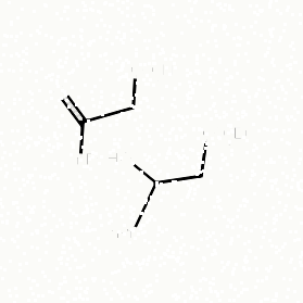 CCCC(=O)CC(=O)O.CCCC(O)CC(=O)OCC